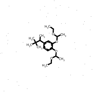 CCOC(C)Oc1ccc(C(C)C(C)(C)C)cc1OC(C)OCC